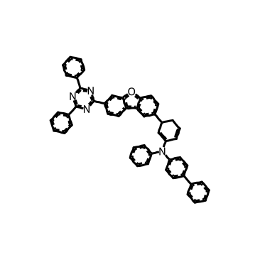 C1=CC(N(c2ccccc2)c2ccc(-c3ccccc3)cc2)=CC(c2ccc3oc4cc(-c5nc(-c6ccccc6)nc(-c6ccccc6)n5)ccc4c3c2)C1